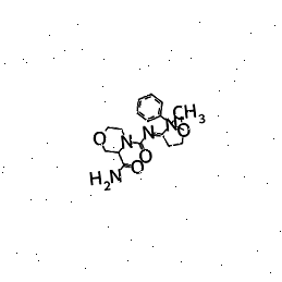 C[N+]1(c2ccccc2)OCCC1=NC(=O)N1CCOCC1C(N)=O